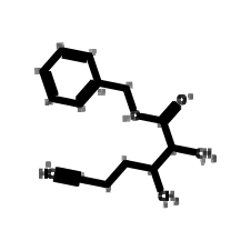 C#CCCC(C)C(C)C(=O)OCc1ccccc1